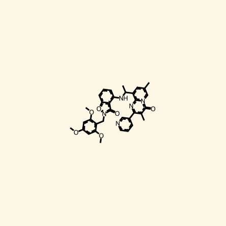 COc1cc(OC)c(Cn2oc3cccc(NC(C)c4cc(C)cn5c(=O)c(C)c(-c6cccnc6)nc45)c3c2=O)c(OC)c1